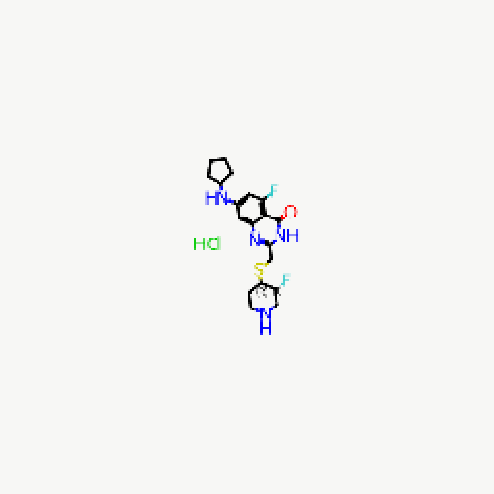 Cl.O=c1[nH]c(CS[C@@H]2CCNC[C@H]2F)nc2cc(NC3CCCC3)cc(F)c12